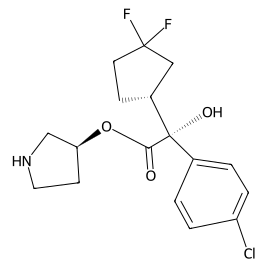 O=C(O[C@H]1CCNC1)[C@](O)(c1ccc(Cl)cc1)[C@@H]1CCC(F)(F)C1